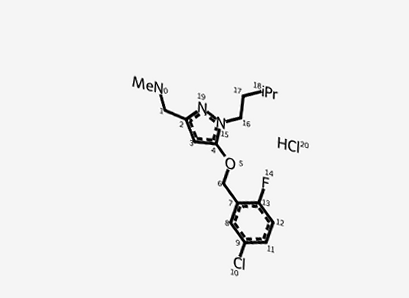 CNCc1cc(OCc2cc(Cl)ccc2F)n(CCC(C)C)n1.Cl